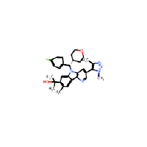 Cc1cc2c3ncc(-c4c(C)nnn4C)cc3n([C@H](c3ccc(F)cc3)C3CCOCC3)c2cc1C(C)(C)O